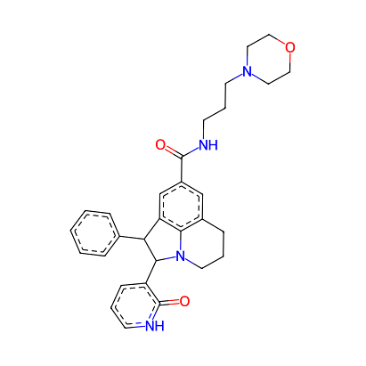 O=C(NCCCN1CCOCC1)c1cc2c3c(c1)C(c1ccccc1)C(c1ccc[nH]c1=O)N3CCC2